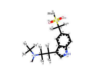 [2H]C([2H])([2H])N(C)C([2H])([2H])C([2H])([2H])c1c[nH]c2ccc(C([2H])([2H])S(=O)(=O)NC)cc12